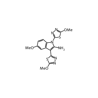 COc1ccc2c(c1)c(-c1nnc(OC)s1)c(N)n2-c1nnc(OC)s1